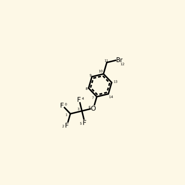 FC(F)C(F)(F)Oc1ccc(CBr)cc1